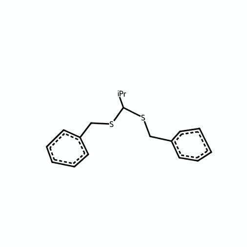 CC(C)C(SCc1ccccc1)SCc1ccccc1